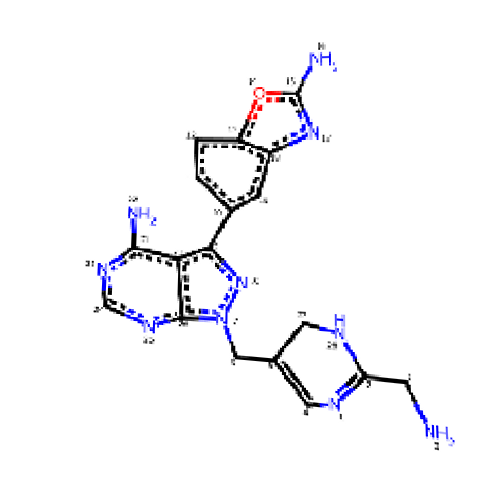 NCC1=NC=C(Cn2nc(-c3ccc4oc(N)nc4c3)c3c(N)ncnc32)CN1